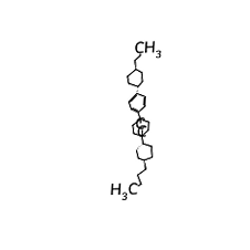 CCCC[C@H]1CC[C@H](C23CCC(c4ccc([C@H]5CC[C@H](CCC)CC5)cc4)(CC2)CC3)CC1